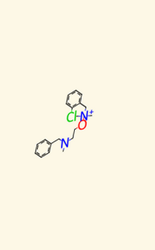 CN(CCO[N+](C)(C)Cc1ccccc1Cl)Cc1ccccc1